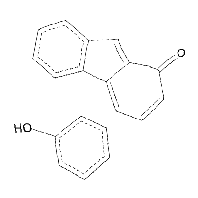 O=C1C=CC=C2C1=Cc1ccccc12.Oc1ccccc1